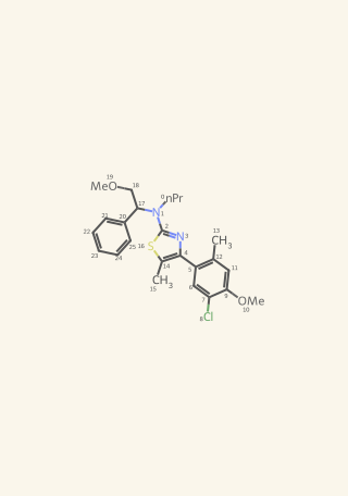 CCCN(c1nc(-c2cc(Cl)c(OC)cc2C)c(C)s1)C(COC)c1ccccc1